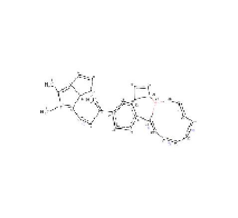 C=C(/C=C\C1=C(C)C(C)=C2C=CCC21)c1ccc(/C2=C/C=C\C=C/C=C/CB2C2C=CC2)cc1